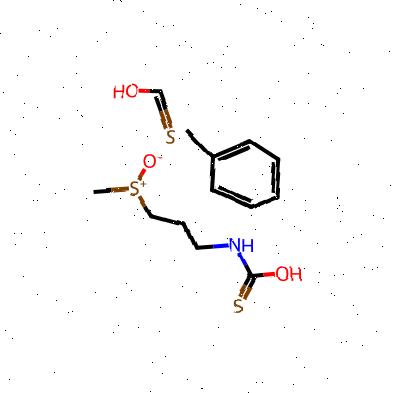 C[S+]([O-])CCCNC(O)=S.Cc1ccccc1.OC=S